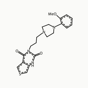 COc1ccccc1N1CCN(CCCn2c(=O)[nH]c3cscc3c2=O)CC1